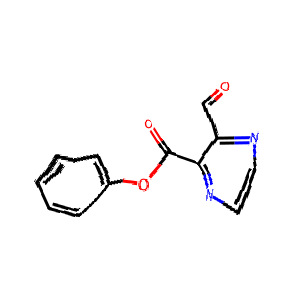 O=Cc1nccnc1C(=O)Oc1ccccc1